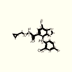 O=C(NOCC1CC1)c1cc(F)c2ncsc2c1Nc1ccc(I)cc1Cl